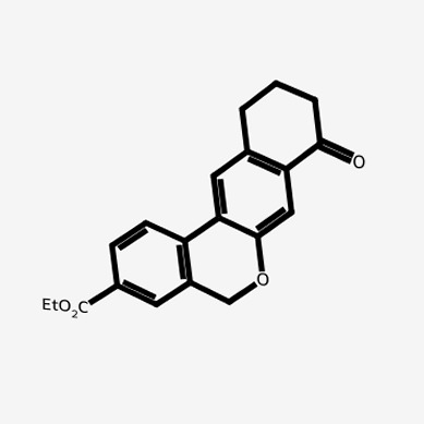 CCOC(=O)c1ccc2c(c1)COc1cc3c(cc1-2)CCCC3=O